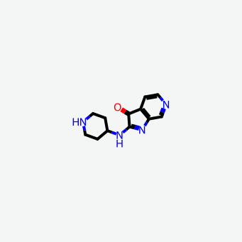 O=C1C(NC2CCNCC2)=Nc2cnccc21